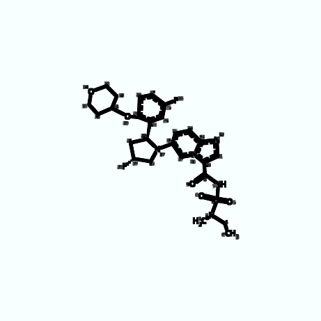 CCN(C)S(=O)(=O)NC(=O)c1cnc2ccc(N3C[C@H](F)C[C@H]3c3cc(F)ccc3OC3CCOCC3)cn12